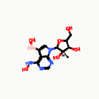 C[C@@]1(O)C(O)C(CO)OC1n1cc(BO)c2c(NO)ncnc21